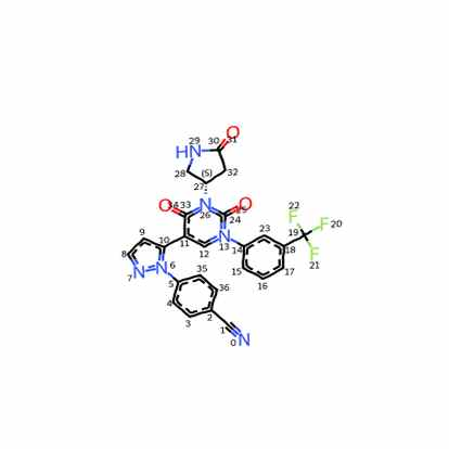 N#Cc1ccc(-n2nccc2-c2cn(-c3cccc(C(F)(F)F)c3)c(=O)n([C@@H]3CNC(=O)C3)c2=O)cc1